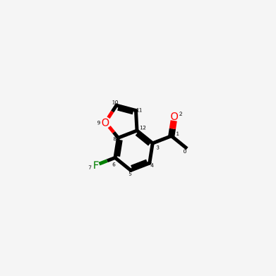 CC(=O)c1ccc(F)c2occc12